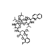 COC(=O)CC(NC(=O)[C@H](C)NC(=O)[C@@H](NC(=O)[C@H](CC(C)=O)NC(=O)[C@@H](NC(=O)c1ccc2ccccc2n1)C(C)C)C(C)C)C(=O)COc1c(F)cccc1F